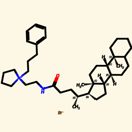 C[C@H](CCC(=O)NCC[N+]1(CCCc2ccccc2)CCCC1)[C@H]1CC[C@H]2[C@@H]3CCC4CCCC[C@]4(C)[C@H]3CC[C@]12C.[Br-]